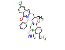 Cc1ccc(C(=O)N(CC(C)Cc2nc3cc(Cl)ccc3c(=O)n2Cc2ccccc2)CC(F)CN)cc1